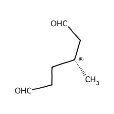 C[C@@H](CC=O)CCC=O